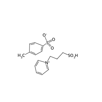 Cc1ccc(S(=O)(=O)[O-])cc1.O=S(=O)(O)CCC[n+]1ccccc1